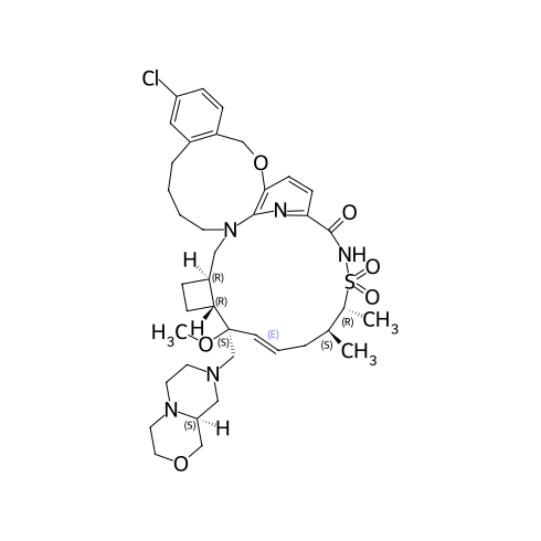 CO[C@]1(CN2CCN3CCOC[C@@H]3C2)/C=C/C[C@H](C)[C@@H](C)S(=O)(=O)NC(=O)c2ccc3c(n2)N(CCCCc2cc(Cl)ccc2CO3)C[C@@H]2CC[C@H]21